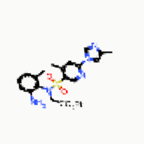 CCOC(=O)CN(c1c(C)cccc1N)S(=O)(=O)c1cnc(-n2cnc(C)c2)cc1C